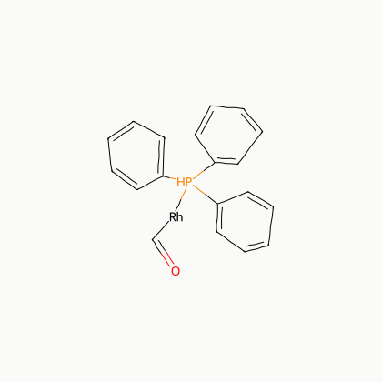 O=[CH][Rh][PH](c1ccccc1)(c1ccccc1)c1ccccc1